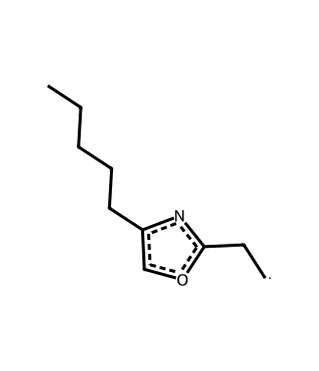 [CH2]Cc1nc(CCCCC)co1